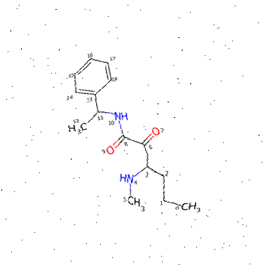 CCCC(NC)C(=O)C(=O)NC(C)c1ccccc1